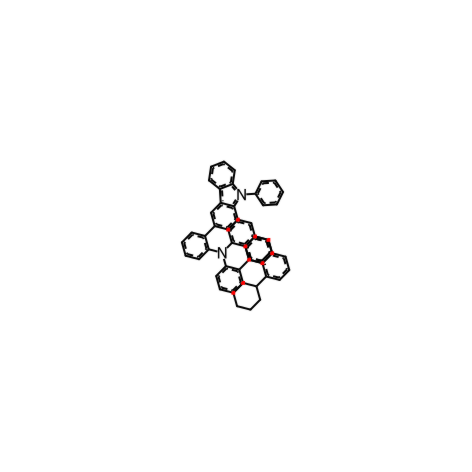 c1ccc(-n2c3ccccc3c3cc(-c4ccccc4N(c4ccccc4-c4cccc5cccc(C6CCCCC6)c45)c4cccc5ccccc45)ccc32)cc1